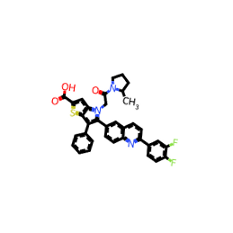 CC1CCCN1C(=O)Cn1c(-c2ccc3nc(-c4ccc(F)c(F)c4)ccc3c2)c(-c2ccccc2)c2sc(C(=O)O)cc21